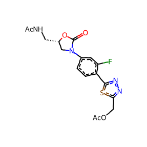 CC(=O)NC[C@H]1CN(c2ccc(-c3nnc(COC(C)=O)s3)c(F)c2)C(=O)O1